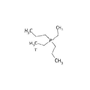 CCC[P+](CC)(CC)CCC.[I-]